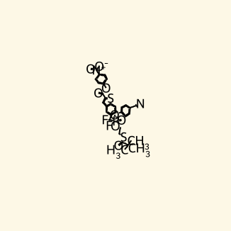 CC(C)(C)C(=O)SCCOP(=O)(Oc1ccc(C#N)cc1)C(F)(F)c1ccc2sc(C(=O)Oc3ccc([N+](=O)[O-])cc3)cc2c1